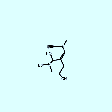 C#CN(C)/C=C(/CCO)C(O)N(C)CC